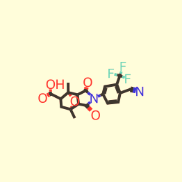 CC12CC(C(=O)O)C(C)(O1)C1C(=O)N(c3ccc(C#N)c(C(F)(F)F)c3)C(=O)C12